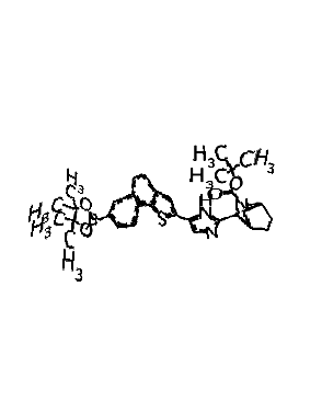 CC(C)(C)OC(=O)N1C2CCC(C2)C1c1ncc(-c2cc3ccc4cc(B5OC(C)(C)C(C)(C)O5)ccc4c3s2)[nH]1